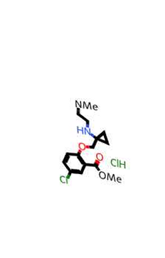 CNCCNC1(COc2ccc(Cl)cc2C(=O)OC)CC1.Cl